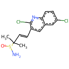 CC(C)(C=Cc1cc2cc(Cl)ccc2nc1Cl)[S+](N)[O-]